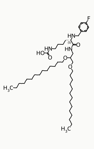 CCCCCCCCCCCCCCOCC(CNC(=O)[C@H](CCCCNC(=O)O)NCc1ccc(F)cc1)OCCCCCCCCCCCCCC